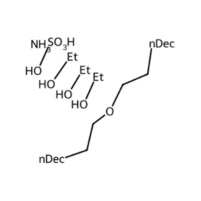 CCCCCCCCCCCCOCCCCCCCCCCCC.CCO.CCO.CCO.N.O=S(=O)(O)O